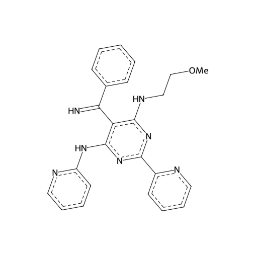 COCCNc1nc(-c2ccccn2)nc(Nc2ccccn2)c1C(=N)c1ccccc1